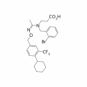 CC(=NOCc1ccc(C2CCCCC2)c(C(F)(F)F)c1)N(CCC(=O)O)Cc1ccccc1Br